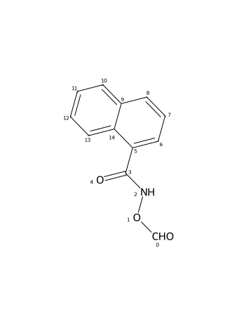 O=CONC(=O)c1cccc2ccccc12